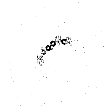 C=C/C=C(\C=C/N)NC(=O)Nc1ccc(-c2ccc(N3C[C@H](CNC(C)=O)OC3=O)cc2F)cc1